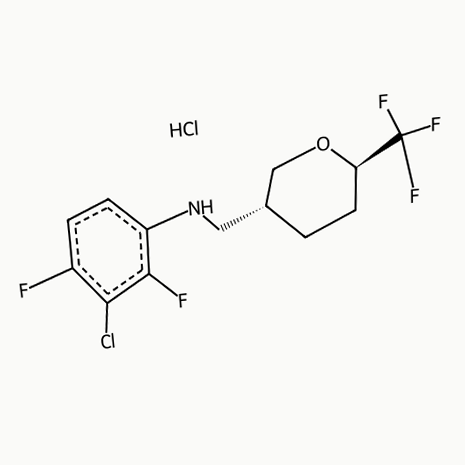 Cl.Fc1ccc(NC[C@H]2CC[C@H](C(F)(F)F)OC2)c(F)c1Cl